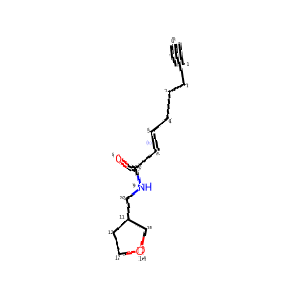 C#CCCC/C=C/C(=O)NCC1CCOC1